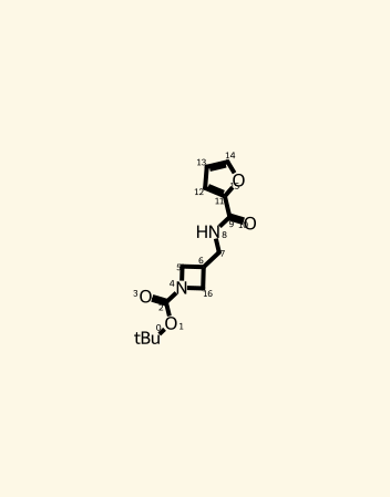 CC(C)(C)OC(=O)N1CC(CNC(=O)c2ccco2)C1